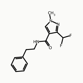 Cn1cc(C(=O)NCCc2ccccc2)c(C(F)F)n1